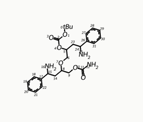 CC(C)(C)OC(=O)OC(COC(COC(N)=O)CC(N)c1ccccc1)CC(N)c1ccccc1